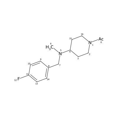 CC(=O)N1CCC(N(C)Cc2ccc(F)cc2)CC1